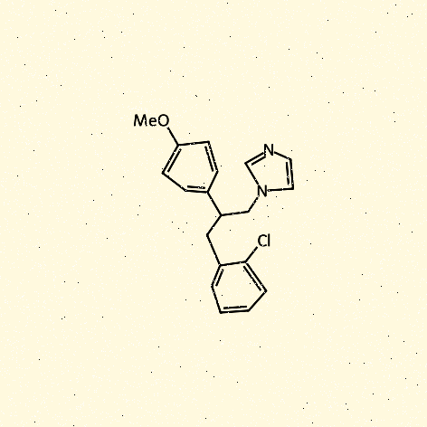 COc1ccc(C(Cc2ccccc2Cl)Cn2ccnc2)cc1